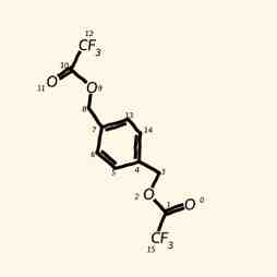 O=C(OCc1ccc(COC(=O)C(F)(F)F)cc1)C(F)(F)F